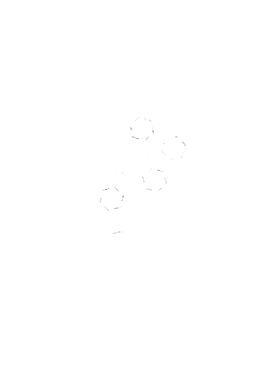 CCC(C(=O)O)c1ccc(OCCC(c2ccccc2)(c2ccccc2)c2ccccc2)cc1